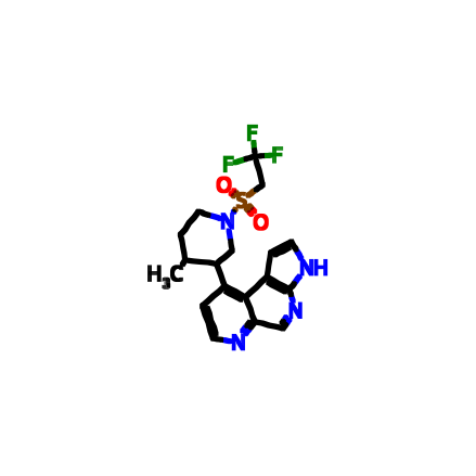 CC1CCN(S(=O)(=O)CC(F)(F)F)CC1c1ccnc2cnc3[nH]ccc3c12